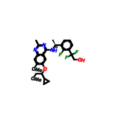 COCC(Oc1cc2c(N[C@H](C)c3cccc(C(F)(F)CO)c3F)nc(C)nc2cc1OC)C1CC1